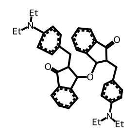 CCN(CC)c1ccc(CC2C(=O)c3ccccc3C2OC2c3ccccc3C(=O)C2Cc2ccc(N(CC)CC)cc2)cc1